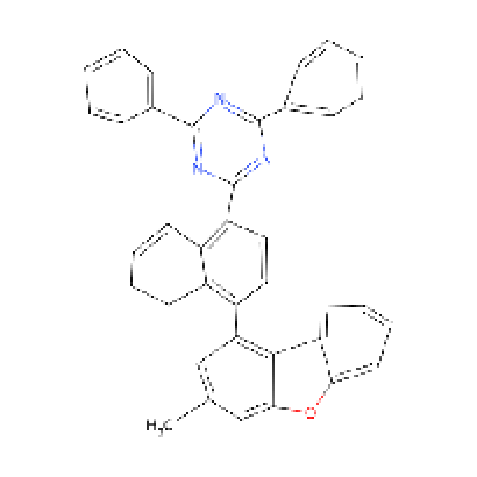 Cc1cc(-c2ccc(-c3nc(-c4ccccc4)nc(-c4ccccc4)n3)c3c2CCC=C3)c2c(c1)oc1ccccc12